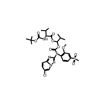 COc1cc(S(C)(=O)=O)ccc1N(C(=O)OC(OC(=O)[C@@H](NC(=O)OC(C)(C)C)C(C)C)C(C)C)c1nc2ccc(Cl)cn2n1